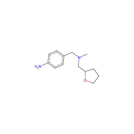 CN(Cc1ccc(N)cc1)CC1CCCO1